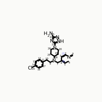 C=N/C=C\C(=C/C)CN(CCc1ccc(Cl)cc1)C1CCN(c2nc(N)n[nH]2)CC1